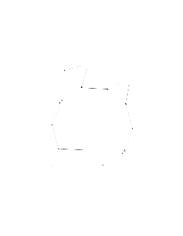 C=C1/C=C/C(C(C)C)CC(=O)C2(CO2)C2OC2C1